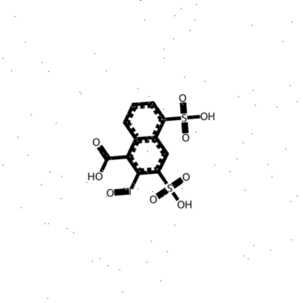 O=Ic1c(S(=O)(=O)O)cc2c(S(=O)(=O)O)cccc2c1C(=O)O